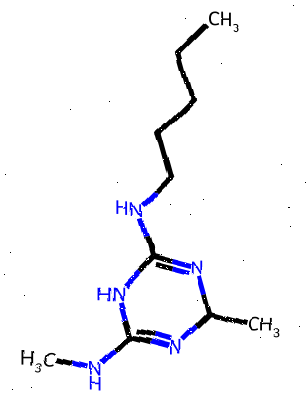 CCCCCNC1=NC(C)N=C(NC)N1